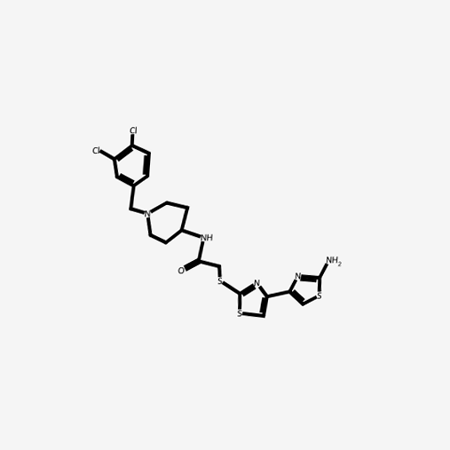 Nc1nc(-c2csc(SCC(=O)NC3CCN(Cc4ccc(Cl)c(Cl)c4)CC3)n2)cs1